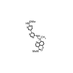 CNC(=O)c1ccnc2c([C@H](C)CNc3cc(-c4cnc(NOC)nc4)ncn3)ccc(F)c12